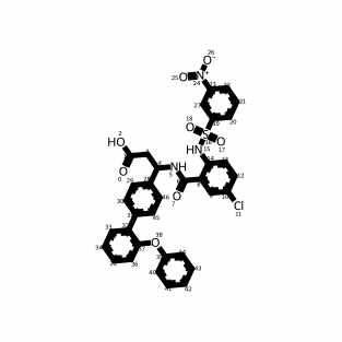 O=C(O)CC(NC(=O)c1cc(Cl)ccc1NS(=O)(=O)c1cccc([N+](=O)[O-])c1)c1ccc(-c2ccccc2Oc2ccccc2)cc1